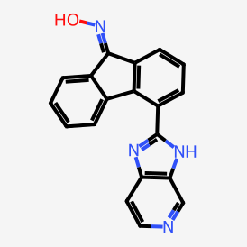 O/N=C1\c2ccccc2-c2c1cccc2-c1nc2ccncc2[nH]1